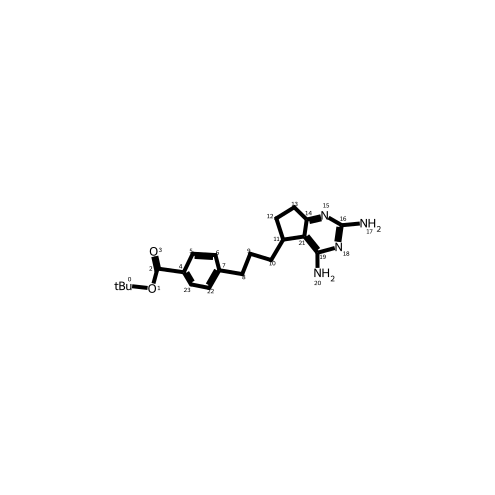 CC(C)(C)OC(=O)c1ccc(CCCC2CCc3nc(N)nc(N)c32)cc1